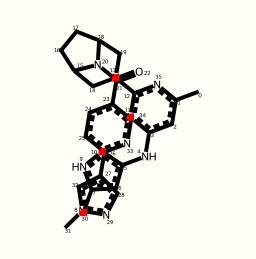 Cc1cc(Nc2cc(C)[nH]n2)nc(N2CC3CCC(C2)N3C(=O)c2ccc(-c3cnn(C)c3)nc2)n1